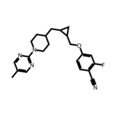 Cc1cnc(N2CCC(CC3CC3COc3ccc(C#N)c(F)c3)CC2)nc1